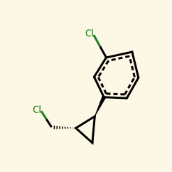 ClC[C@H]1C[C@@H]1c1cccc(Cl)c1